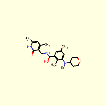 CCN(c1cc(C)cc(C(O)NCc2c(C)cc(C)[nH]c2=O)c1C)C1CCOCC1